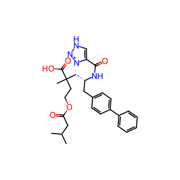 CC(C)CC(=O)OCCC(C)(C[C@@H](Cc1ccc(-c2ccccc2)cc1)NC(=O)c1c[nH]nn1)C(=O)O